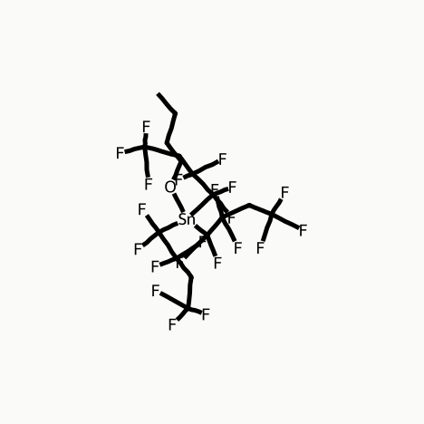 CCCC[O][Sn]([C](F)(F)C(F)(F)CC(F)(F)F)([C](F)(F)C(F)(F)CC(F)(F)F)[C](F)(F)C(F)(F)CC(F)(F)F